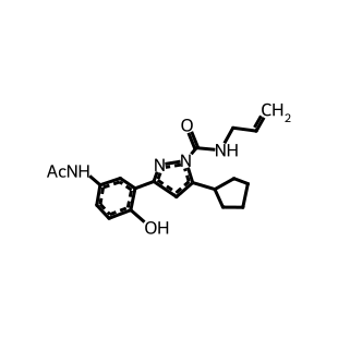 C=CCNC(=O)n1nc(-c2cc(NC(C)=O)ccc2O)cc1C1CCCC1